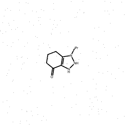 CC(C)N1NNC2=C1CCCC2=O